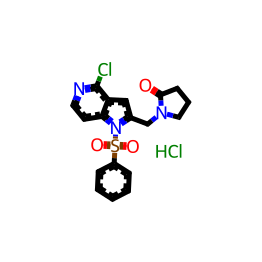 Cl.O=C1CCCN1Cc1cc2c(Cl)nccc2n1S(=O)(=O)c1ccccc1